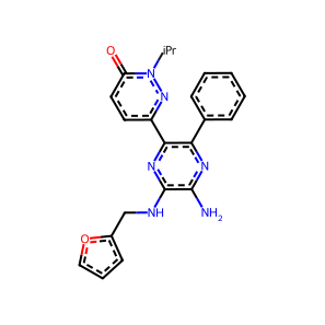 CC(C)n1nc(-c2nc(NCc3ccco3)c(N)nc2-c2ccccc2)ccc1=O